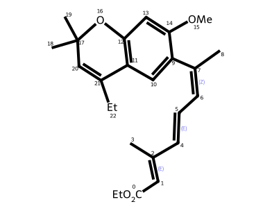 CCOC(=O)/C=C(C)/C=C/C=C(/C)c1cc2c(cc1OC)OC(C)(C)C=C2CC